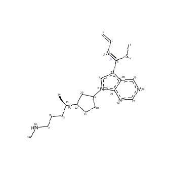 C=C/N=C(\SC)c1cn(C2CCC([C@H](C)CCCNC)C2)c2ncncc12